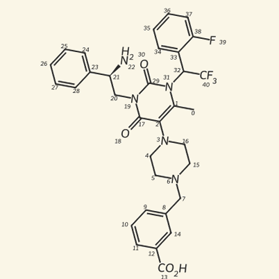 Cc1c(N2CCN(Cc3cccc(C(=O)O)c3)CC2)c(=O)n(C[C@H](N)c2ccccc2)c(=O)n1C(c1ccccc1F)C(F)(F)F